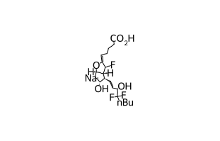 CCCCC(F)(F)[C@H](O)C=C[C@@H]1[C@H]2C(F)C(=CCCCC(=O)O)O[C@H]2C[C@H]1O.[Na]